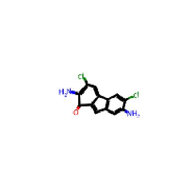 NC1=C(Cl)C=C2C(=Cc3cc(N)c(Cl)cc32)C1=O